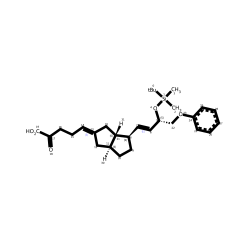 CC(C)(C)[Si](C)(C)O[C@@H](/C=C/[C@H]1CC[C@H]2C/C(=C\CCC(=O)C(=O)O)C[C@@H]21)COc1ccccc1